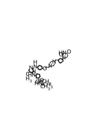 Cc1cnc(Nc2ccc(OCCN3CCN(Cc4cccc(N5CCC(=O)NC5=O)c4)CC3)cc2)nc1Nc1cccc(S(=O)(=O)NC(C)(C)C)c1